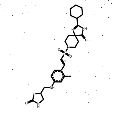 Cc1cc(NCC2CNC(=O)O2)ccc1/C=C/S(=O)(=O)N1CCC2(CC1)N=C(C1CCCCC1)NC2=O